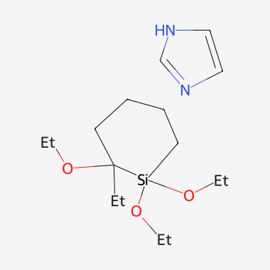 CCOC1(CC)CCCC[Si]1(OCC)OCC.c1c[nH]cn1